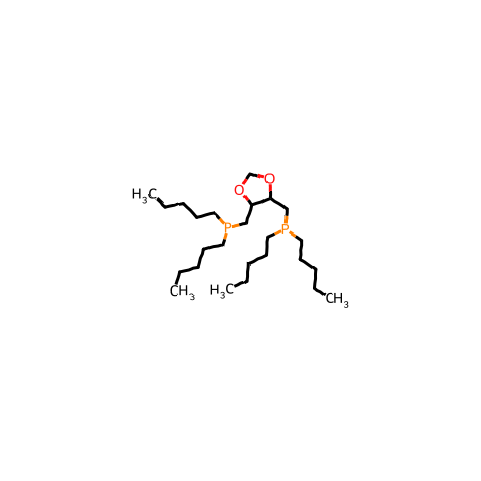 CCCCCP(CCCCC)CC1OCOC1CP(CCCCC)CCCCC